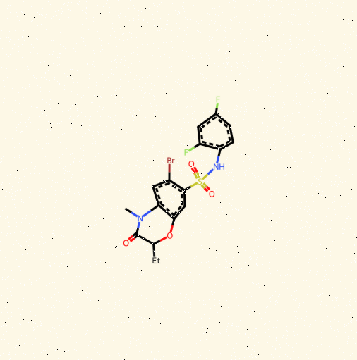 CCC1Oc2cc(S(=O)(=O)Nc3ccc(F)cc3F)c(Br)cc2N(C)C1=O